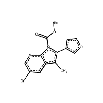 Cc1c(-c2ccoc2)n(C(=O)OC(C)(C)C)c2ncc(Br)cc12